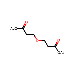 CC(=O)OC(=O)CCOCCC(=O)OC(C)=O